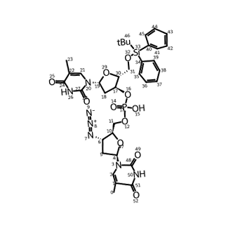 Cc1cn([C@H]2C[C@H](N=[N+]=[N-])[C@@H](COP(=O)(O)O[C@H]3C[C@H](n4cc(C)c(=O)[nH]c4=O)O[C@@H]3CO[Si](c3ccccc3)(c3ccccc3)C(C)(C)C)O2)c(=O)[nH]c1=O